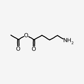 CC(=O)OC(=O)CCCN